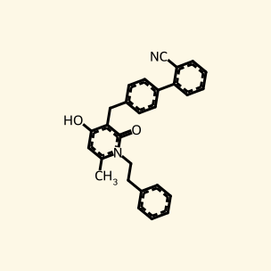 Cc1cc(O)c(Cc2ccc(-c3ccccc3C#N)cc2)c(=O)n1CCc1ccccc1